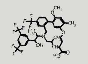 COc1cc(C)c(OCCCC(=O)O)cc1-c1ccc(C(F)(F)F)cc1CN(CC(C)C)C(C)C(O)c1cc(C(F)(F)F)cc(C(F)(F)F)c1